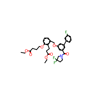 CCOC(=O)CCCOc1cccc(COc2cc(C(=O)N3CCC(F)(F)C3)cc(-c3cccc(F)c3)c2)c1CCC(=O)OCC